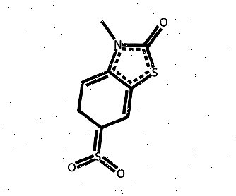 Cn1c(=O)sc2c1=CCC(=S(=O)=O)C=2